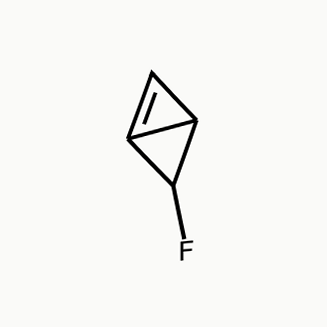 FC1C2=CC21